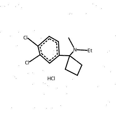 CCN(C)C1(c2ccc(Cl)c(Cl)c2)CCC1.Cl